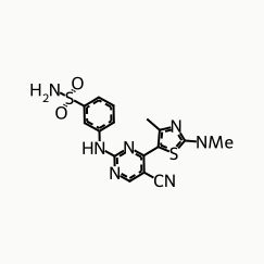 CNc1nc(C)c(-c2nc(Nc3cccc(S(N)(=O)=O)c3)ncc2C#N)s1